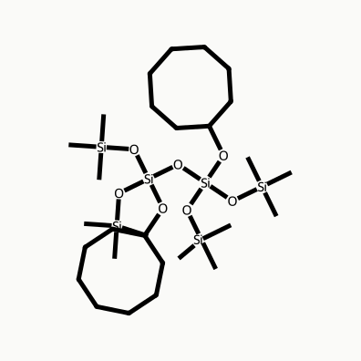 C[Si](C)(C)O[Si](OC1CCCCCCC1)(O[Si](C)(C)C)O[Si](OC1CCCCCCC1)(O[Si](C)(C)C)O[Si](C)(C)C